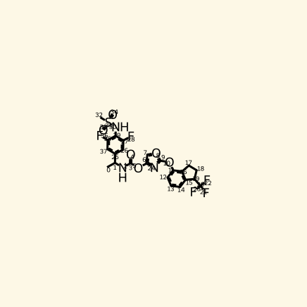 CC(NC(=O)Oc1coc(Oc2cccc3c2CCC3C(F)(F)F)n1)c1cc(F)c(NS(C)(=O)=O)c(F)c1